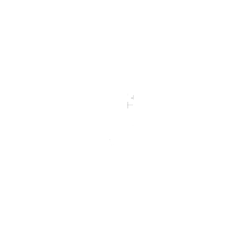 C=C([SiH](C)C)[SiH](C)C